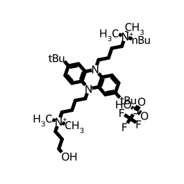 CCCC[N+](C)(C)CCCCN1c2cc(C(C)(C)C)ccc2N(CCCC[N+](C)(C)CCCO)c2cc(C(C)(C)C)ccc21.O=S(=O)(O)C(F)(F)F